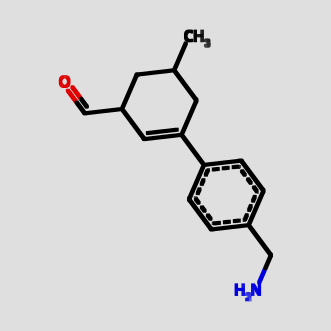 CC1CC(c2ccc(CN)cc2)=CC(C=O)C1